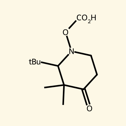 CC(C)(C)C1N(OC(=O)O)CCC(=O)C1(C)C